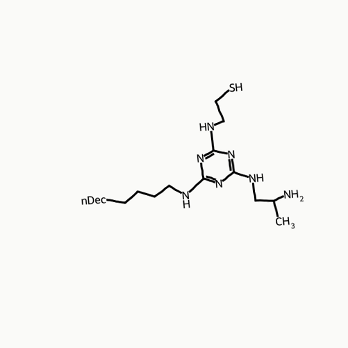 CCCCCCCCCCCCCCNc1nc(NCCS)nc(NCC(C)N)n1